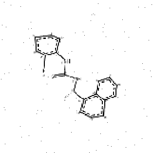 C[C@H](NC(=S)Nc1ccccc1F)c1cccc2ccccc12